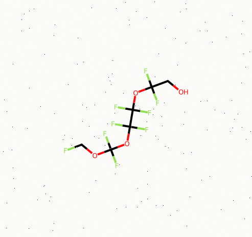 OCC(F)(F)OC(F)(F)C(F)(F)OC(F)(F)OCF